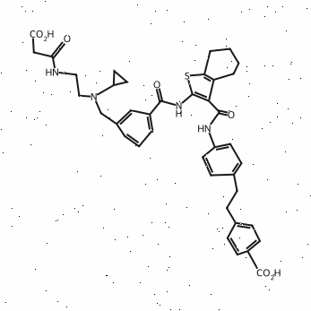 O=C(O)CC(=O)NCCN(Cc1cccc(C(=O)Nc2sc3c(c2C(=O)Nc2ccc(CCc4ccc(C(=O)O)cc4)cc2)CCCC3)c1)C1CC1